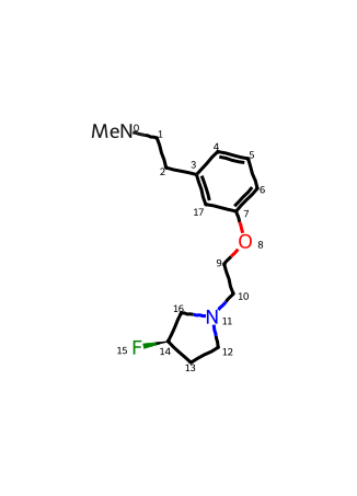 CNCCc1cccc(OCCN2CC[C@@H](F)C2)c1